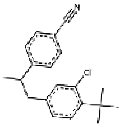 CC(Cc1ccc(C(C)(C)C)c(Cl)c1)c1ccc(C#N)cc1